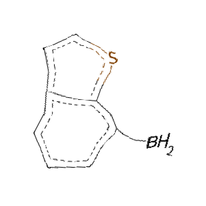 Bc1cccc2ccsc12